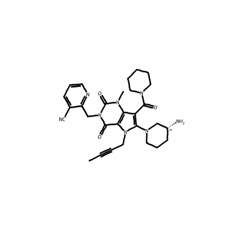 CC#CCn1c(N2CCC[C@@H](N)C2)c(C(=O)N2CCCCC2)c2c1c(=O)n(Cc1ncccc1C#N)c(=O)n2C